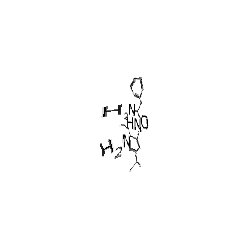 CCC/C(=C\C(=C/N)C(C)C)CNC(=O)[C@@H](N)Cc1ccccc1